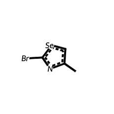 Cc1c[se]c(Br)n1